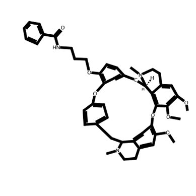 COc1cc2c3cc1Oc1c(OC)c(OC)cc4c1[C@@H](Cc1ccc(OCCCNC(=O)c5ccccc5)c(c1)Oc1ccc(cc1)CC3N(C)CC2)N(C)CC4